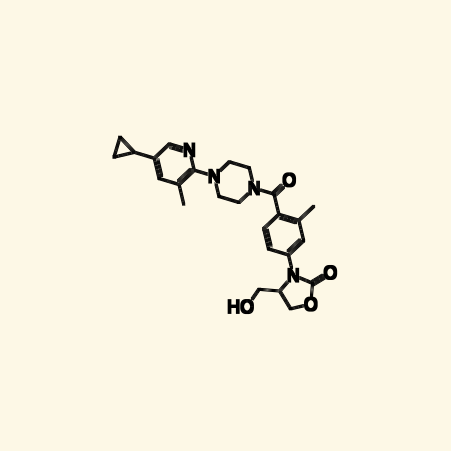 Cc1cc(N2C(=O)OCC2CO)ccc1C(=O)N1CCN(c2ncc(C3CC3)cc2C)CC1